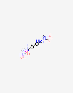 COC(=O)N[C@H](C(=O)N1CCC[C@H]1c1ncc(-c2ccc(-c3ccc(-c4cnc(C5(C)CCCN5C(=O)[C@@H](NC(=O)OC)[C@@H](C)OC)[nH]4)cc3)cc2)[nH]1)[C@@H](C)OC